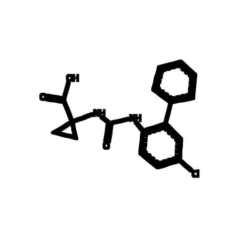 O=C(Nc1ccc(Cl)cc1-c1ccccc1)NC1(C(=O)O)CC1